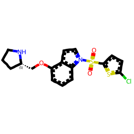 O=S(=O)(c1ccc(Cl)s1)n1ccc2c(OC[C@@H]3CCCN3)cccc21